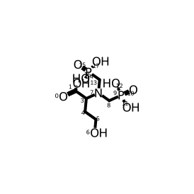 O=C(O)C(CCO)N(CP(=O)(O)O)CP(=O)(O)O